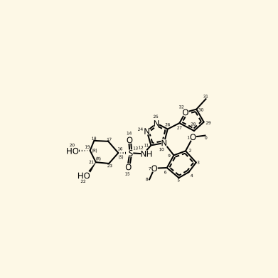 COc1cccc(OC)c1-n1c(NS(=O)(=O)[C@H]2CC[C@@H](O)[C@H](O)C2)nnc1-c1ccc(C)o1